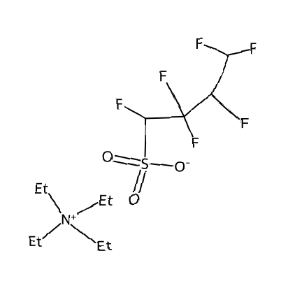 CC[N+](CC)(CC)CC.O=S(=O)([O-])C(F)C(F)(F)C(F)C(F)F